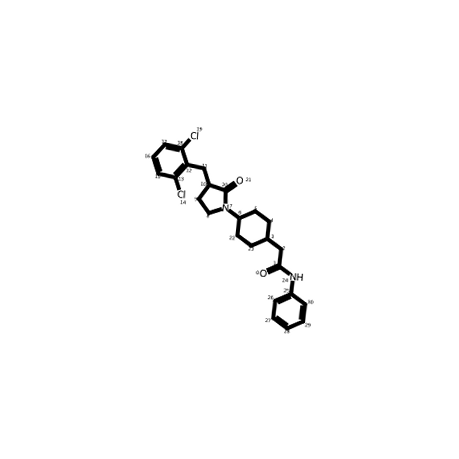 O=C(CC1CCC(N2CCC(Cc3c(Cl)cccc3Cl)C2=O)CC1)Nc1ccccc1